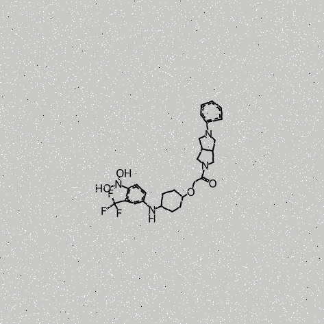 O=C(COC1CCC(Nc2ccc(N(O)O)c(C(F)(F)F)c2)CC1)N1CC2CN(c3ccccc3)CC2C1